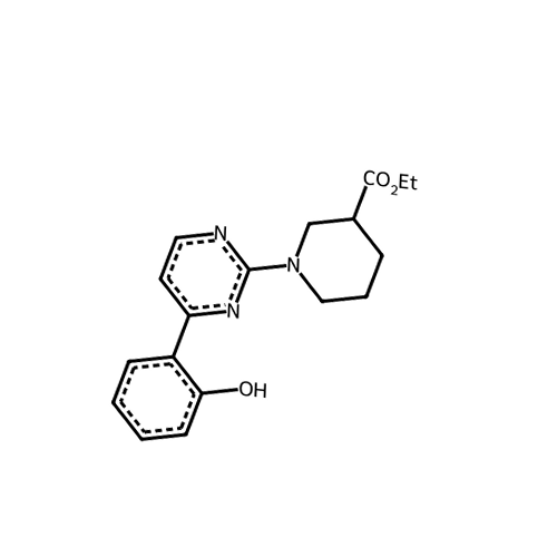 CCOC(=O)C1CCCN(c2nccc(-c3ccccc3O)n2)C1